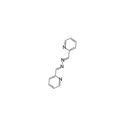 C(=NN=Cc1ccccn1)c1ccccn1